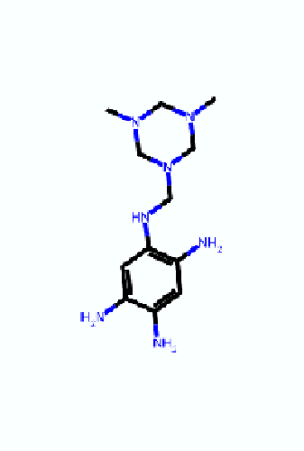 CN1CN(C)CN(CNc2cc(N)c(N)cc2N)C1